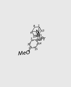 COc1ccc(CN2C3CC2CN(C(C)C)C3)cc1